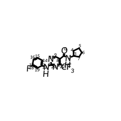 O=C(NC1CCCC1)c1cnc(Nc2cccc(F)c2)nc1C(F)(F)F